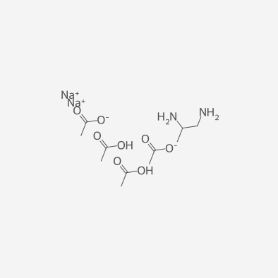 CC(=O)O.CC(=O)O.CC(=O)[O-].CC(=O)[O-].CC(N)CN.[Na+].[Na+]